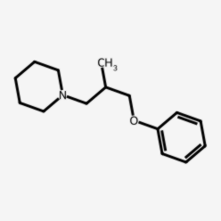 CC(COc1ccccc1)CN1CCCCC1